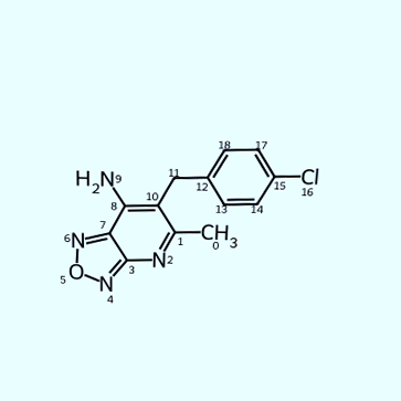 Cc1nc2nonc2c(N)c1Cc1ccc(Cl)cc1